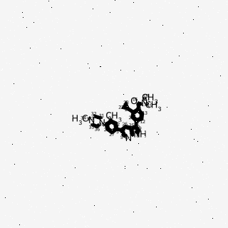 Cc1cc(-c2cnc3[nH]cc(-c4ccc(C(=O)N(C)C)c(C5CC5)c4)c3c2)ccc1N1CCN(C)CC1